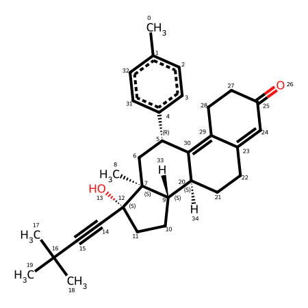 Cc1ccc([C@H]2C[C@@]3(C)[C@@H](CC[C@@]3(O)C#CC(C)(C)C)[C@@H]3CCC4=CC(=O)CCC4=C32)cc1